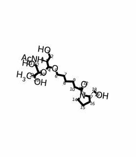 CC(=O)N[C@@H](CO)C(OCCCCCC(=O)N1CCC[C@H]1CO)OC(CO)[C@@H](C)O